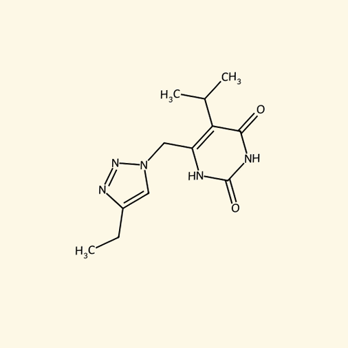 CCc1cn(Cc2[nH]c(=O)[nH]c(=O)c2C(C)C)nn1